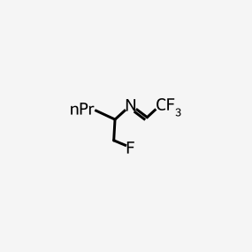 CCCC(CF)N=CC(F)(F)F